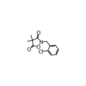 CC1(C)C(=O)ON(Cc2ccccc2Cl)C1=O